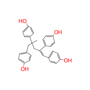 CC(CC(=Cc1ccc(O)cc1)c1ccc(O)cc1)(Cc1ccc(O)cc1)c1ccc(O)cc1